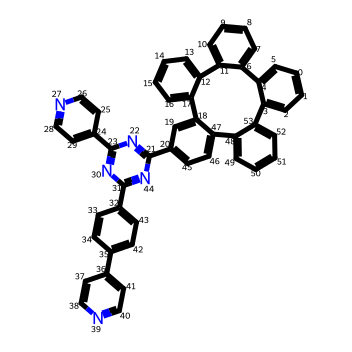 c1ccc2c(c1)c1ccccc1c1ccccc1c1cc(-c3nc(-c4ccncc4)nc(-c4ccc(-c5ccncc5)cc4)n3)ccc1c1ccccc21